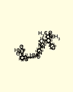 Cc1cc2c(N3CCCc4nc(-c5ccc(C(=O)NCC#Cc6cc7c([C@@H]8CCC(=O)NC8=O)cccc7o6)nc5)ncc43)cc(C3CCOCC3)cc2n(C)c1=O